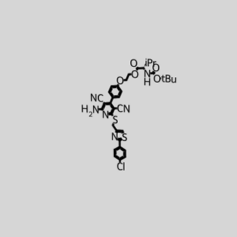 CC(C)[C@H](NC(=O)OC(C)(C)C)C(=O)OCCOc1ccc(-c2c(C#N)c(N)nc(SCc3csc(-c4ccc(Cl)cc4)n3)c2C#N)cc1